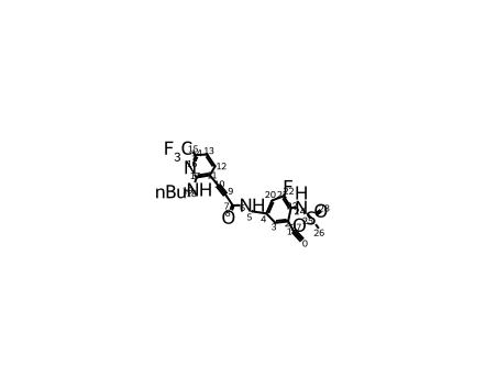 C#Cc1cc(CNC(=O)C#Cc2ccc(C(F)(F)F)nc2NCCCC)cc(F)c1NS(C)(=O)=O